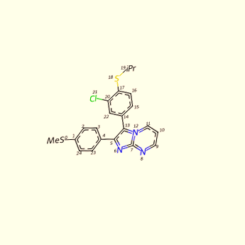 CSc1ccc(-c2nc3ncccn3c2-c2ccc(SC(C)C)c(Cl)c2)cc1